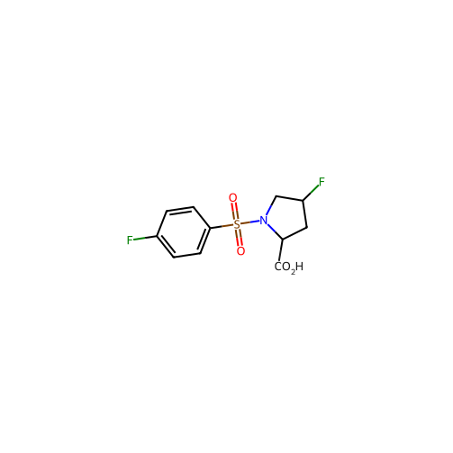 O=C(O)C1CC(F)CN1S(=O)(=O)c1ccc(F)cc1